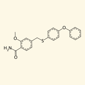 COc1cc(CSc2ccc(Oc3ccccc3)cc2)ccc1C(N)=O